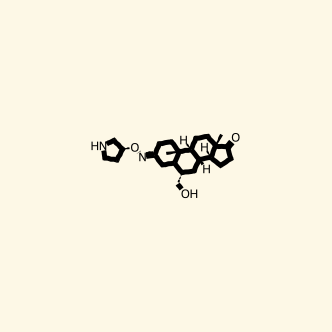 C[C@]12CC/C(=N\O[C@@H]3CCNC3)CC1[C@@H](CO)C[C@@H]1[C@@H]2CC[C@]2(C)C(=O)CC[C@@H]12